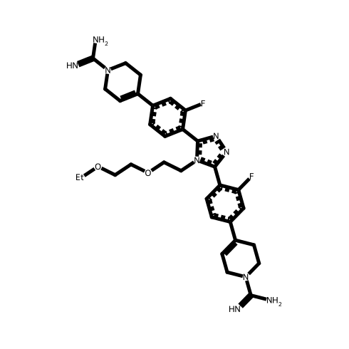 CCOCCOCCn1c(-c2ccc(C3=CCN(C(=N)N)CC3)cc2F)nnc1-c1ccc(C2=CCN(C(=N)N)CC2)cc1F